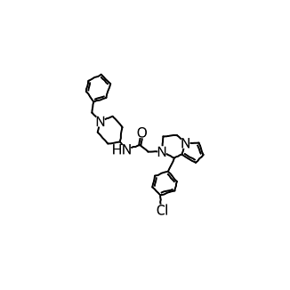 O=C(CN1CCn2cccc2C1c1ccc(Cl)cc1)NC1CCN(Cc2ccccc2)CC1